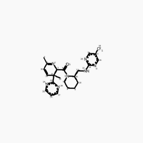 CC1=NC(C(=O)N2CCCCC2CNc2ncc(C(F)(F)F)cn2)C(C)(c2ncccn2)C=C1